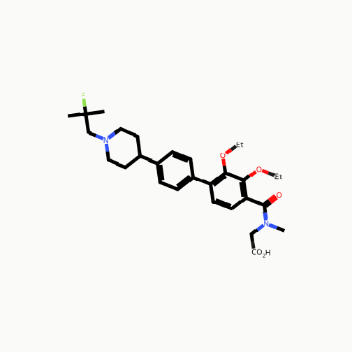 CCOc1c(C(=O)N(C)CC(=O)O)ccc(-c2ccc(C3CCN(CC(C)(C)F)CC3)cc2)c1OCC